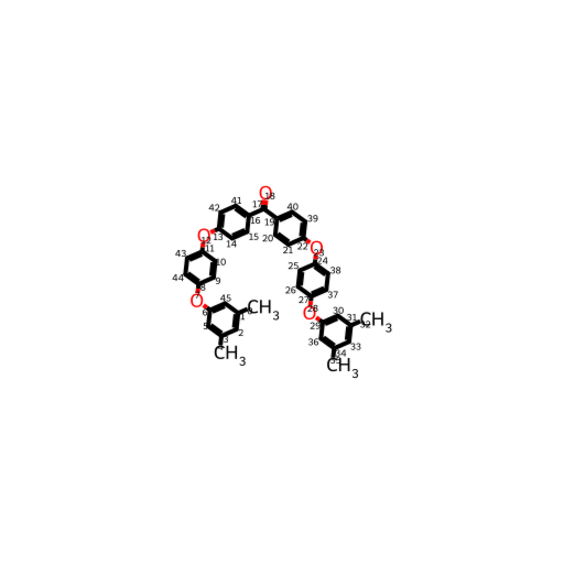 Cc1cc(C)cc(Oc2ccc(Oc3ccc(C(=O)c4ccc(Oc5ccc(Oc6cc(C)cc(C)c6)cc5)cc4)cc3)cc2)c1